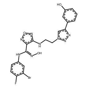 ON=C(Nc1ccc(F)c(Br)c1)c1nonc1NCCn1cc(-c2cccc(O)c2)nn1